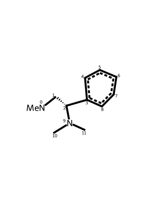 CNC[C@H](c1ccccc1)N(C)C